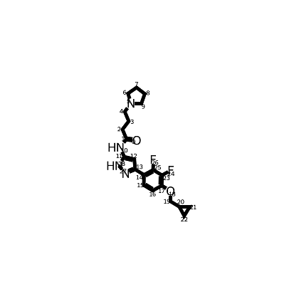 O=C(CCCN1CCCC1)Nc1cc(-c2ccc(OCC3CC3)c(F)c2F)n[nH]1